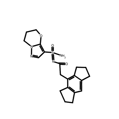 NS(=O)(=NC(=O)Cc1c2c(cc3c1CCC3)CCC2)c1cnn2c1OCCC2